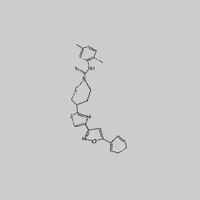 Cc1ccc(C)c(NC(=S)N2CCC(c3nc(-c4cc(C5=CCCC=C5)on4)cs3)CC2)c1